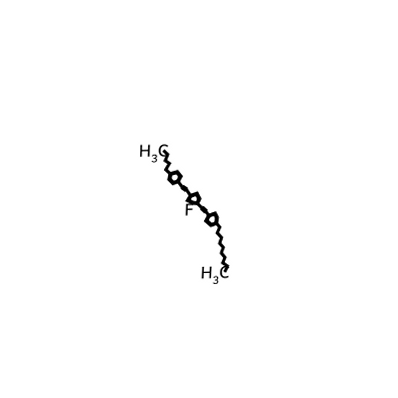 CCCCCCCCCCc1ccc(C#Cc2ccc(C#Cc3ccc(CCCCC)cc3)cc2F)cc1